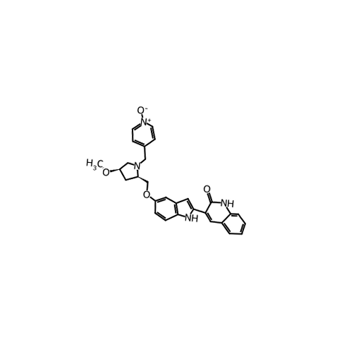 CO[C@@H]1C[C@H](COc2ccc3[nH]c(-c4cc5ccccc5[nH]c4=O)cc3c2)N(Cc2cc[n+]([O-])cc2)C1